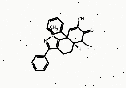 CC1C(=O)C(C#N)=CC2(c3ccccc3)c3c(c(-c4ccccc4)nn3C)CC[C@@H]12